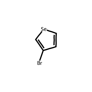 Brc1cc[se]c1